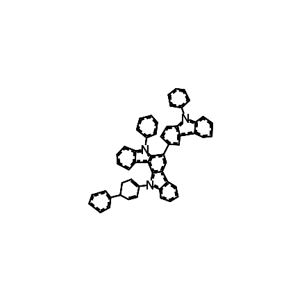 C1=CC(c2ccccc2)CC=C1n1c2ccccc2c2cc(-c3ccc4c(c3)c3ccccc3n4-c3ccccc3)c3c(c4ccccc4n3-c3ccccc3)c21